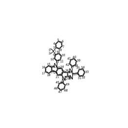 CC1(C)c2ccccc2-c2ccc(-n3c4ccccc4c4cc5c(cc43)c3c(nc(-c4ccccc4)n3-c3ccccc3)n5-c3ccccc3)cc21